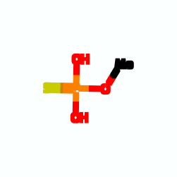 OP(O)(=S)[O][Mo]